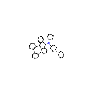 c1ccc(-c2ccc(N(c3ccccc3)c3c4ccccc4c4c5c(cccc35)-c3ccccc3-c3ccccc3-4)cc2)cc1